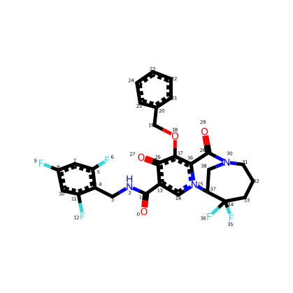 O=C(NCc1c(F)cc(F)cc1F)c1cn2c(c(OCc3ccccc3)c1=O)C(=O)N1CCCC(F)(F)C2C1